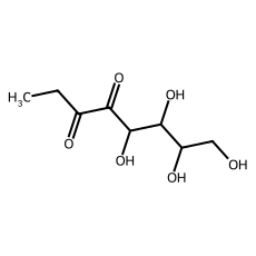 CCC(=O)C(=O)C(O)C(O)C(O)CO